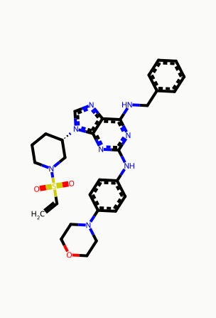 C=CS(=O)(=O)N1CCC[C@H](n2cnc3c(NCc4ccccc4)nc(Nc4ccc(N5CCOCC5)cc4)nc32)C1